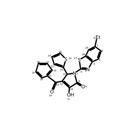 CCc1ccc2nc(N3C(=O)C(O)=C(C(=O)c4ccccc4)C3c3cccs3)sc2c1